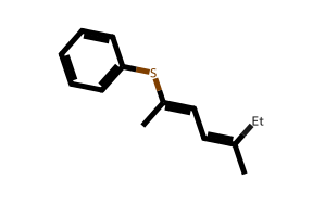 CC/C(C)=C\C=C(/C)Sc1ccccc1